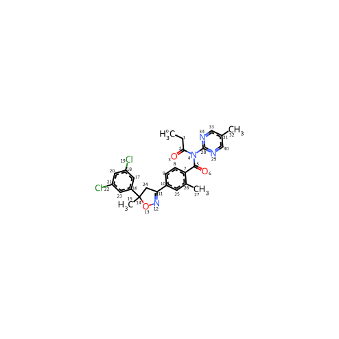 CCC(=O)N(C(=O)c1ccc(C2=NOC(C)(c3cc(Cl)cc(Cl)c3)C2)cc1C)c1ncc(C)cn1